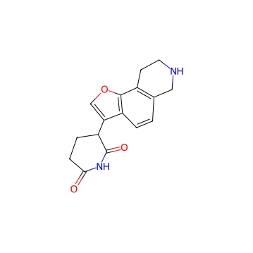 O=C1CCC(c2coc3c4c(ccc23)CNCC4)C(=O)N1